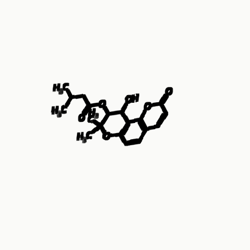 CC(C)CC(=O)OC1C(O)c2c(ccc3ccc(=O)oc23)OC1(C)C